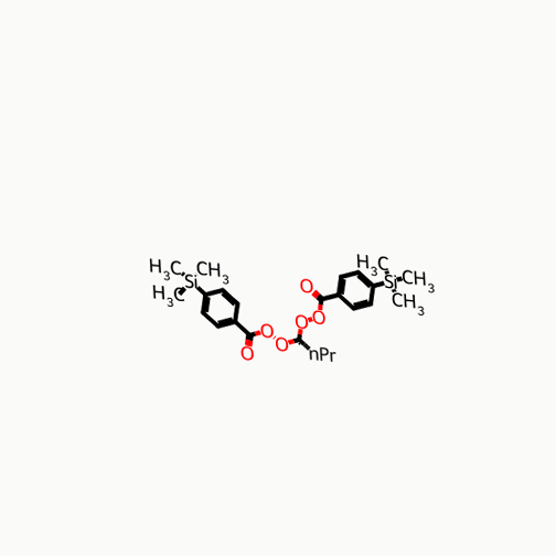 [CH2]CC[C](OOC(=O)c1ccc([Si](C)(C)C)cc1)OOC(=O)c1ccc([Si](C)(C)C)cc1